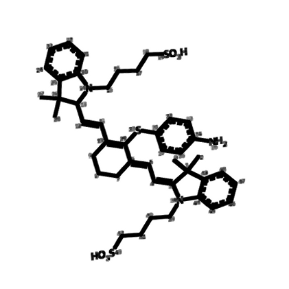 CC1(C)/C(=C\C=C2/CCCC(/C=C/C3N(CCCCS(=O)(=O)O)c4ccccc4C3(C)C)=C2Sc2ccc(N)cc2)N(CCCCS(=O)(=O)O)c2ccccc21